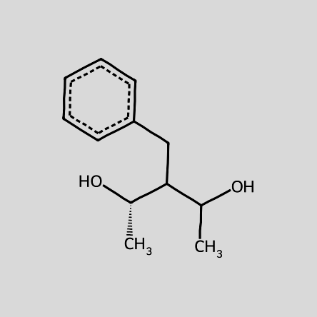 CC(O)C(Cc1ccccc1)[C@H](C)O